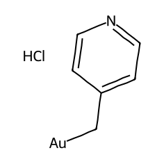 Cl.[Au][CH2]c1ccncc1